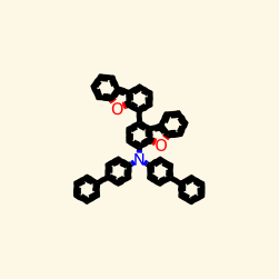 c1ccc(-c2ccc(N(c3ccc(-c4ccccc4)cc3)c3ccc(-c4cccc5c4oc4ccccc45)c4c3oc3ccccc34)cc2)cc1